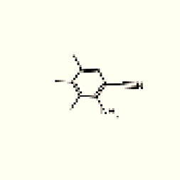 Cc1cc(C#N)c(N)c(C)c1C